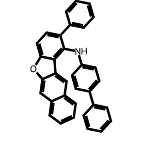 c1ccc(-c2ccc(Nc3c(-c4ccccc4)ccc4oc5cc6ccccc6cc5c34)cc2)cc1